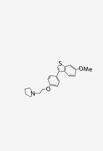 COc1ccc2c(-c3ccc(OCCN4CCCC4)cc3)csc2c1